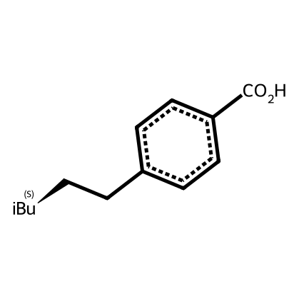 CC[C@H](C)CCc1ccc(C(=O)O)cc1